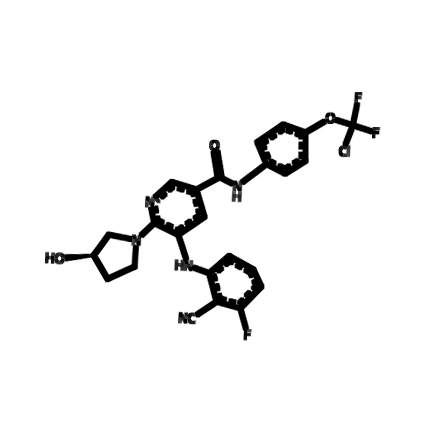 N#Cc1c(F)cccc1Nc1cc(C(=O)Nc2ccc(OC(F)(F)Cl)cc2)cnc1N1CC[C@@H](O)C1